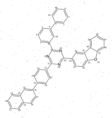 c1ccc(-c2cccc(-c3nc(-c4ccc(-c5ccc6ccccc6c5)cc4)nc(-c4ccc5oc6ccccc6c5c4)n3)c2)cc1